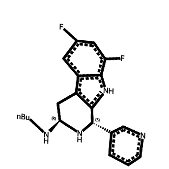 CCCCN[C@H]1Cc2c([nH]c3c(F)cc(F)cc23)[C@H](c2cccnc2)N1